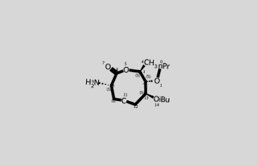 CCCO[C@H]1[C@H](C)OC(=O)[C@@H](N)CCC[C@@H]1OCC(C)C